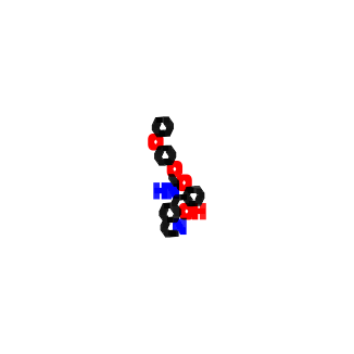 O=C(COc1ccc(Oc2ccccc2)cc1)NC(c1ccccc1)c1ccc2cccnc2c1O